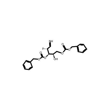 N=C[C@@H](F)[C@H](OC(=O)OCc1ccccc1)[C@H](O)COC(=O)OCc1ccccc1